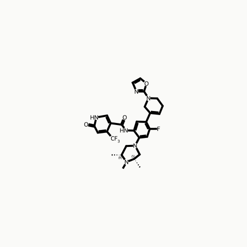 C[C@@H]1CN(c2cc(F)c(C3=CCCN(c4ncco4)C3)cc2NC(=O)c2c[nH]c(=O)cc2C(F)(F)F)C[C@H](C)N1C